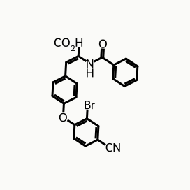 N#Cc1ccc(Oc2ccc(C=C(NC(=O)c3ccccc3)C(=O)O)cc2)c(Br)c1